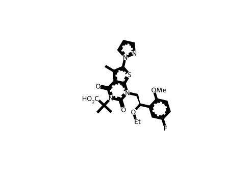 CCO[C@@H](Cn1c(=O)n(C(C)(C)C(=O)O)c(=O)c2c(C)c(-n3cccn3)sc21)c1cc(F)ccc1OC